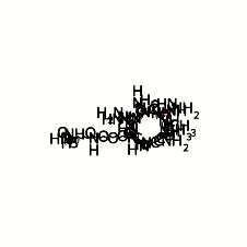 CC(C)C[C@H]1NC(=O)[C@@H](CCCNC(=N)N)NC(=O)[C@@H](Cc2ccccc2)NC(=O)[C@@H](Cc2c[nH]cn2)NC(=O)[C@@H](CCCNC(=N)N)NC(=O)[C@@H](NC(=O)COCCOCCOCCNC(=O)CCCC[C@@H]2SC[C@@H]3NC(=O)NC32)Cc2cn(nn2)CCCC[C@@H](C(N)=O)NC1=O